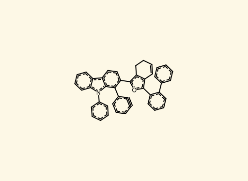 c1cccc(-c2c(-c3oc(-c4ccccc4-c4ccccc4)c4c3CCC=C4)ccc3c4ccccc4n(-c4ccccc4)c23)c#1